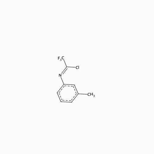 Cc1cccc(N=C(Cl)C(F)(F)F)c1